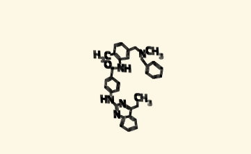 CCc1nc(Nc2ccc(C(=O)Nc3cc(CN(C)Cc4ccccc4)ccc3C)cc2)nc2ccccc12